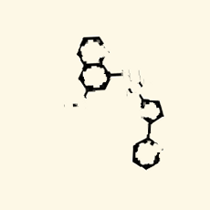 COc1cc(NS(=O)(=O)c2ccc(-c3ccccn3)s2)c2ncccc2c1